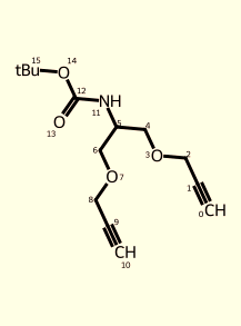 C#CCOCC(COCC#C)NC(=O)OC(C)(C)C